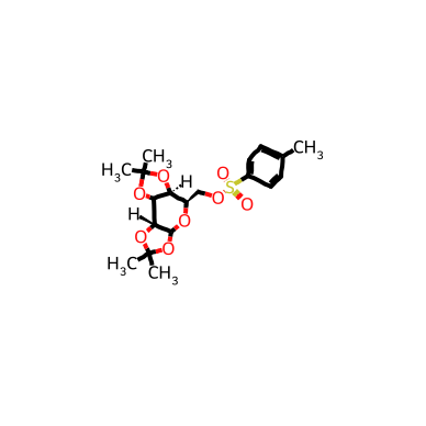 Cc1ccc(S(=O)(=O)OC[C@H]2OC3OC(C)(C)O[C@@H]3C3OC(C)(C)O[C@H]32)cc1